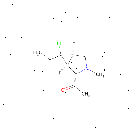 CCC1(Cl)[C@@H]2[C@@H](C(C)=O)N(C)C[C@@H]21